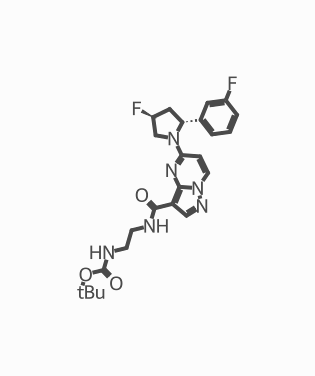 CC(C)(C)OC(=O)NCCNC(=O)c1cnn2ccc(N3C[C@@H](F)C[C@@H]3c3cccc(F)c3)nc12